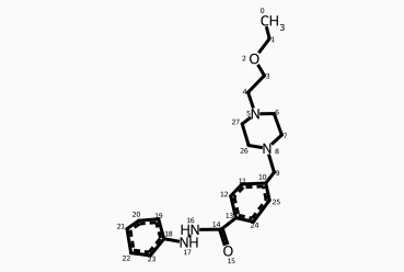 CCOCCN1CCN(Cc2ccc(C(=O)NNc3ccccc3)cc2)CC1